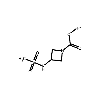 CC(C)OC(=O)N1CC(NS(C)(=O)=O)C1